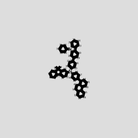 CC1(C)c2ccccc2-c2ccc(N(c3ccc(-c4ccc5c6ccccc6n(-c6ccccc6)c5c4)cc3)c3ccc(-c4cccc5c4ccc4ccccc45)cc3)cc21